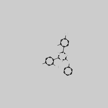 Cc1ccc(-c2nc(Oc3ccccc3)nc(-c3ccc(C)cc3C)n2)c(C)c1